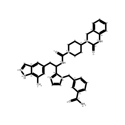 Cc1cc(CC(NC(=O)N2CCC(N3Cc4ccccc4NC3=O)CC2)c2nccn2Cc2cccc(C(N)=O)c2)cc2cn[nH]c12